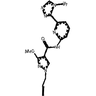 C=CCn1cc(C(=O)Nc2cccc(-c3nncn3C(C)C)n2)c(OC)n1